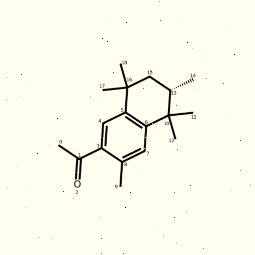 CC(=O)c1cc2c(cc1C)C(C)(C)[C@@H](C)CC2(C)C